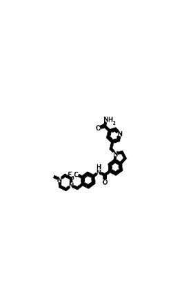 CN1CCN(Cc2ccc(NC(=O)c3ccc4c(c3)N(Cc3cncc(C(N)=O)c3)CC4)cc2C(F)(F)F)CC1